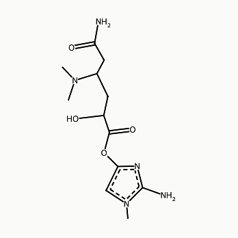 CN(C)C(CC(N)=O)CC(O)C(=O)Oc1cn(C)c(N)n1